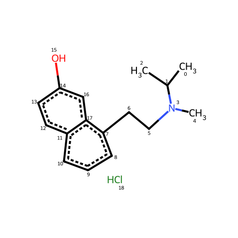 CC(C)N(C)CCc1cccc2ccc(O)cc12.Cl